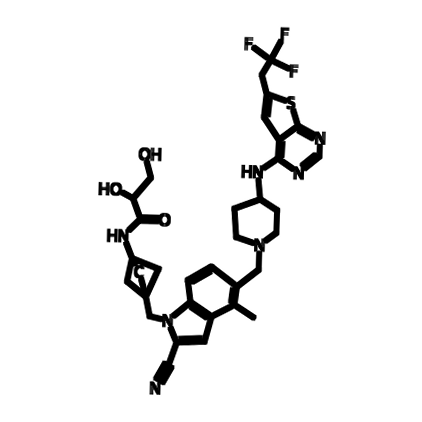 Cc1c(CN2CCC(Nc3ncnc4sc(CC(F)(F)F)cc34)CC2)ccc2c1cc(C#N)n2CC12CC(NC(=O)C(O)CO)(C1)C2